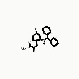 COC(=O)C(C)Cc1ccc(F)cc1NC(c1ccccc1)c1ccccc1